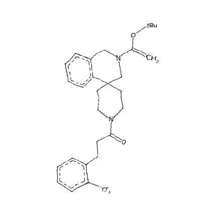 C=C(OC(C)(C)C)N1Cc2ccccc2C2(CCN(C(=O)CCc3ccccc3C(F)(F)F)CC2)C1